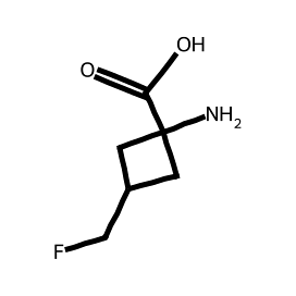 NC1(C(=O)O)CC(CF)C1